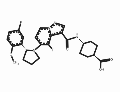 COc1ccc(F)cc1[C@H]1CCCN1c1ccn2ncc(C(=O)N[C@H]3CC[C@H](C(=O)O)CC3)c2c1F